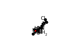 CN(C)CC[C@H](CSc1ccccc1)Nc1c(C(N)=O)cc(S(=O)(=O)Nc2ncnc3cc(N4CCN(Cc5ccccc5-c5ccc(Cl)cc5)CC4)ccc23)cc1[N+](=O)[O-]